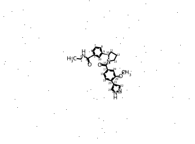 CCNC(=O)c1cccc([C@H]2CCCN2C(=O)c2ccc(-c3cn[nH]c3)c(OC)c2)c1